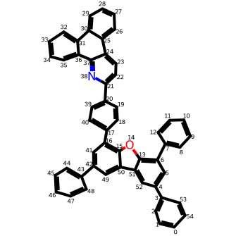 c1ccc(-c2cc(-c3ccccc3)c3oc4c(-c5ccc(-c6ccc7c8ccccc8c8ccccc8c7n6)cc5)cc(-c5ccccc5)cc4c3c2)cc1